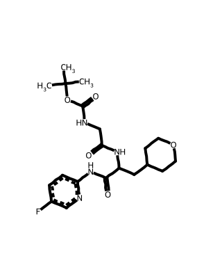 CC(C)(C)OC(=O)NCC(=O)NC(CC1CCOCC1)C(=O)Nc1ccc(F)cn1